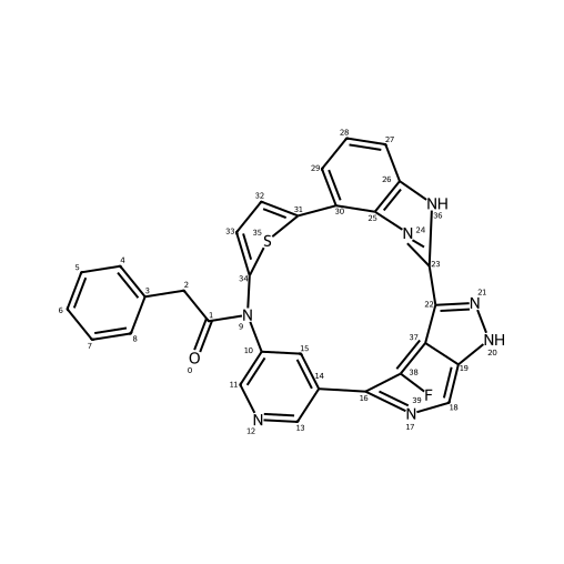 O=C(Cc1ccccc1)n1c2cncc(c2)c2ncc3[nH]nc(c4nc5c(cccc5c5ccc1s5)[nH]4)c3c2F